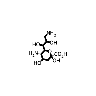 NCC(O)C(O)C1O[C@](O)(C(=O)O)CC(O)[C@@H]1N